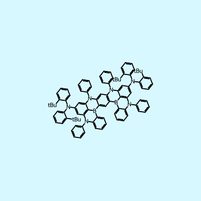 CC(C)(C)c1ccccc1N(c1cc2c3c(c1)N(c1ccccc1)c1cc4c(cc1B3c1ccccc1N2c1ccccc1)B1c2ccccc2N(c2ccccc2)c2cc(N(c3ccccc3C(C)(C)C)c3ccccc3C(C)(C)C)cc(c21)N4c1ccccc1)c1ccccc1C(C)(C)C